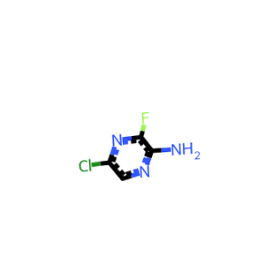 Nc1ncc(Cl)nc1F